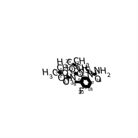 CC(C)(C)OC(=O)N(Cc1cc(N(S)C(N)=O)ccc1F)C(=O)OC(C)(C)C